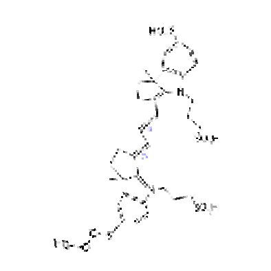 CC12CCC(/C=C/C=C3\CCC4(C)C3=[N+](CCCS(=O)(=O)O)c3ccc(SOOO)cc34)=C1N(CCCS(=O)(=O)O)c1ccc(S(=O)(=O)O)cc12